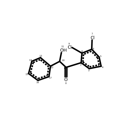 O=C(c1cccc(Cl)c1Cl)C(O)c1ccccc1